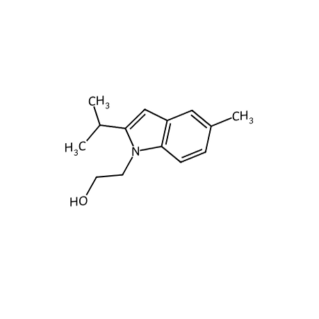 Cc1ccc2c(c1)cc(C(C)C)n2CCO